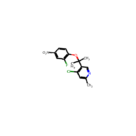 Cc1cc(Cl)c(C(C)(C)Oc2ccc([N+](=O)[O-])cc2F)cn1